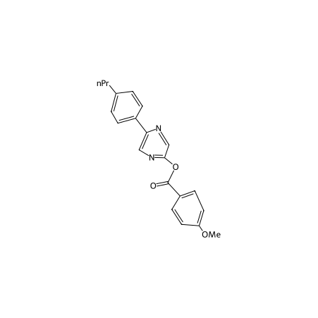 CCCc1ccc(-c2cnc(OC(=O)c3ccc(OC)cc3)cn2)cc1